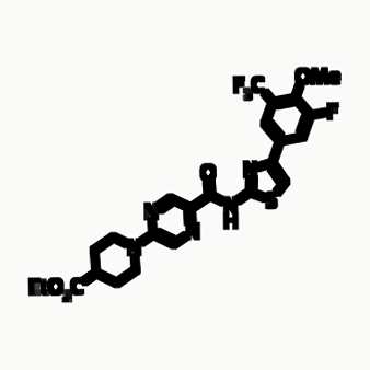 CCOC(=O)C1CCN(c2cnc(C(=O)Nc3nc(-c4cc(F)c(OC)c(C(F)(F)F)c4)cs3)cn2)CC1